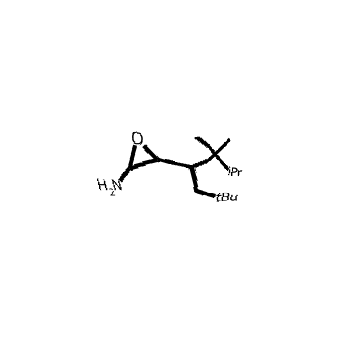 CC(C)C(C)(C)C(CC(C)(C)C)C1OC1N